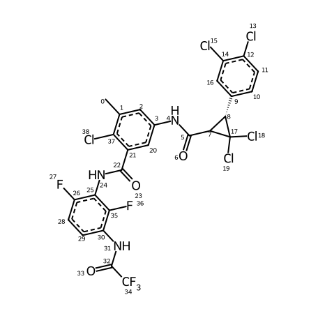 Cc1cc(NC(=O)C2[C@H](c3ccc(Cl)c(Cl)c3)C2(Cl)Cl)cc(C(=O)Nc2c(F)ccc(NC(=O)C(F)(F)F)c2F)c1Cl